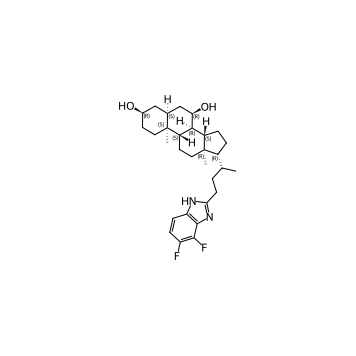 CC(CCc1nc2c(F)c(F)ccc2[nH]1)[C@H]1CC[C@H]2[C@@H]3[C@H](O)C[C@@H]4C[C@H](O)CC[C@]4(C)[C@H]3CC[C@]12C